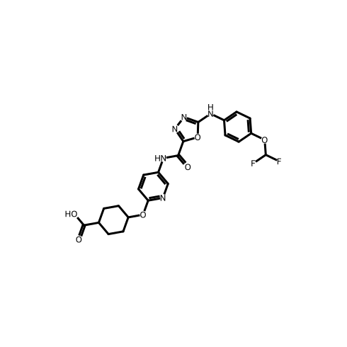 O=C(Nc1ccc(OC2CCC(C(=O)O)CC2)nc1)c1nnc(Nc2ccc(OC(F)F)cc2)o1